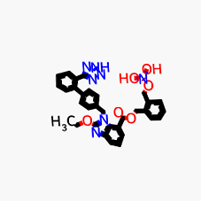 CCOc1nc2cccc(C(=O)OCc3ccccc3CON(O)O)c2n1Cc1ccc(-c2ccccc2-c2nn[nH]n2)cc1